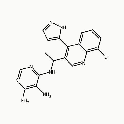 CC(Nc1ncnc(N)c1N)c1cnc2c(Cl)cccc2c1-c1ccn[nH]1